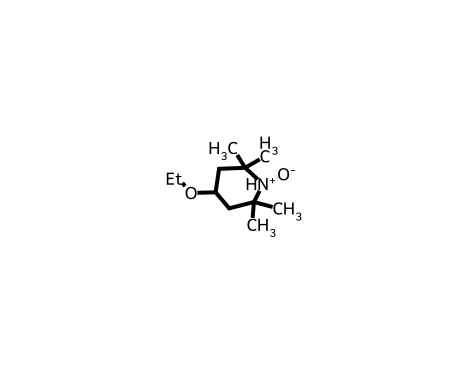 CCOC1CC(C)(C)[NH+]([O-])C(C)(C)C1